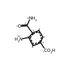 NC(=O)c1ccc(C(=O)O)cc1N